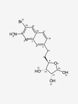 Nc1nc2cc(CC[C@H]3OC(O)[C@H](O)[C@@H]3O)ccc2cc1Br